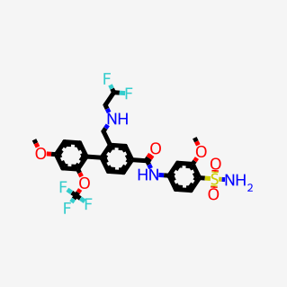 COc1ccc(-c2ccc(C(=O)Nc3ccc(S(N)(=O)=O)c(OC)c3)cc2CNCC(F)F)c(OC(F)(F)F)c1